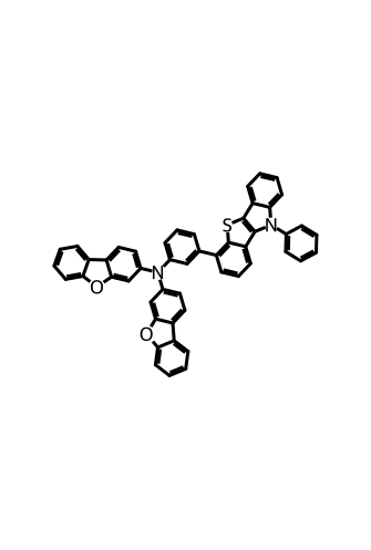 c1ccc(-n2c3ccccc3c3sc4c(-c5cccc(N(c6ccc7c(c6)oc6ccccc67)c6ccc7c(c6)oc6ccccc67)c5)cccc4c32)cc1